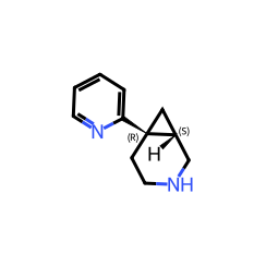 c1ccc([C@]23CCNC[C@H]2C3)nc1